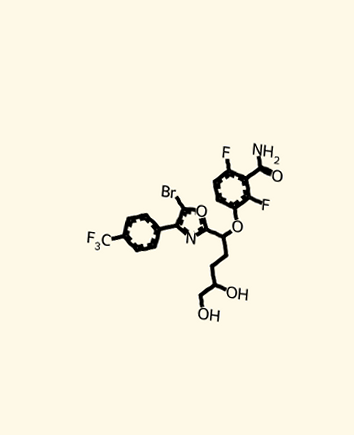 NC(=O)c1c(F)ccc(OC(CCC(O)CO)c2nc(-c3ccc(C(F)(F)F)cc3)c(Br)o2)c1F